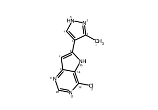 Cc1n[nH]cc1-c1cc2ncnc(Cl)c2[nH]1